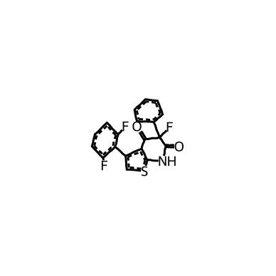 O=C1Nc2scc(-c3c(F)cccc3F)c2C(=O)C1(F)c1ccccc1